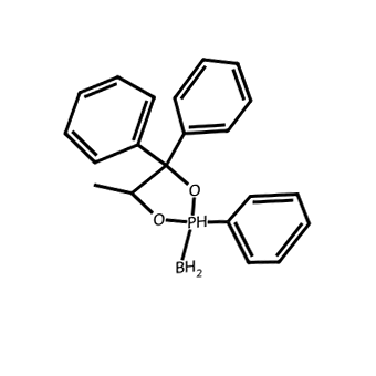 B[PH]1(c2ccccc2)OC(C)C(c2ccccc2)(c2ccccc2)O1